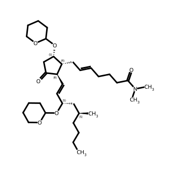 CCCC[C@H](C)C[C@@H](C=C[C@H]1C(=O)C[C@H](OC2CCCCO2)[C@@H]1CC=CCCCC(=O)N(C)C)OC1CCCCO1